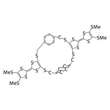 CSC1=C(SC)SC(=C2SC3=C(SCc4ccc(cc4)CSC4=C(SCc5ccc(cc5)CS3)SC(=C3SC(SC)=C(SC)S3)S4)S2)S1